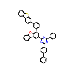 c1ccc(-c2ccc(-c3nc(-c4ccccc4)nc(-c4cc(-c5cccc(-c6ccc7c(c6)sc6ccccc67)c5)c5oc6ccccc6c5c4)n3)cc2)cc1